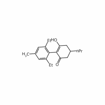 CCCC1CC(=O)C(c2c(CC)cc(C)cc2CC)=C(O)C1